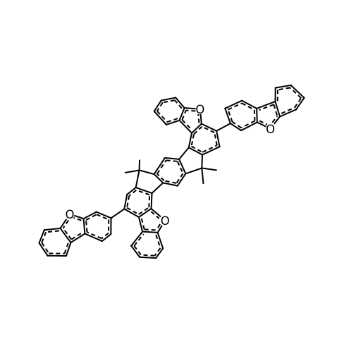 CC1(C)c2cc3c(cc2-c2c1cc(-c1ccc4c(c1)oc1ccccc14)c1c2oc2ccccc21)C(C)(C)c1cc(-c2ccc4c(c2)oc2ccccc24)c2oc4ccccc4c2c1-3